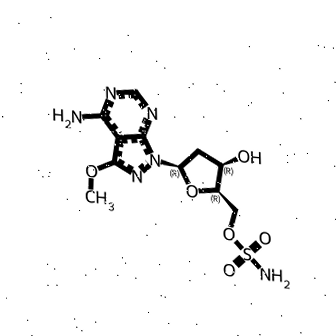 COc1nn([C@H]2C[C@@H](O)[C@@H](COS(N)(=O)=O)O2)c2ncnc(N)c12